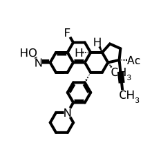 CC#C[C@]1(C(C)=O)CC[C@H]2[C@@H]3CC(F)C4=CC(=NO)CCC4=C3[C@@H](c3ccc(N4CCCCC4)cc3)C[C@@]21C